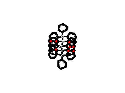 c1ccc([Si](c2ccccc2)(c2ccccc2)[Si](c2ccccc2)(c2ccccc2)[Si](c2ccccc2)(c2ccccc2)[Si](c2ccccc2)(c2ccccc2)[Si](c2ccccc2)(c2ccccc2)c2ccccc2)cc1